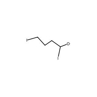 [O]C(I)CCCI